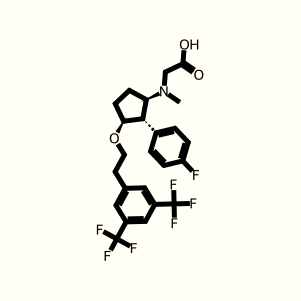 CN(CC(=O)O)[C@@H]1CC[C@H](OCCc2cc(C(F)(F)F)cc(C(F)(F)F)c2)[C@H]1c1ccc(F)cc1